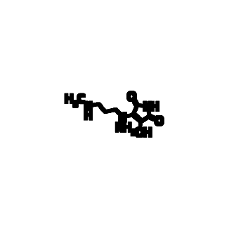 CNCCCN(N)C1=C(O)C(=O)NC1=O